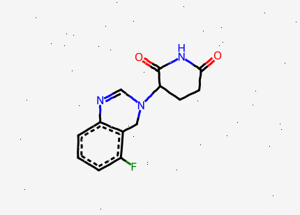 O=C1CCC(N2C=Nc3cccc(F)c3C2)C(=O)N1